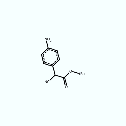 CC(C)(C)OC(=O)C(C#N)c1ccc([N+](=O)[O-])cc1